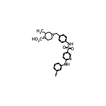 C[C@H]1CN(Cc2ccc(NS(=O)(=O)c3ccc(Nc4cccc(F)c4)nc3)cc2)CCN1C(=O)O